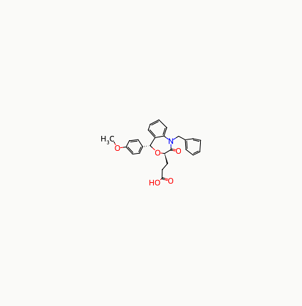 COc1ccc([C@H]2O[C@H](CCC(=O)O)C(=O)N(Cc3ccccc3)c3ccccc32)cc1